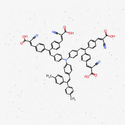 Cc1ccc(C(=Cc2ccc(N(c3ccc(C=C(c4ccc(/C=C(\C#N)C(=O)O)cc4)c4ccc(/C=C(\C#N)C(=O)O)cc4)cc3)c3ccc(C=C(c4ccc(/C=C(\C#N)C(=O)O)cc4)c4ccc(/C=C(\C#N)C(=O)O)cc4)cc3)cc2)c2ccc(C)cc2)cc1